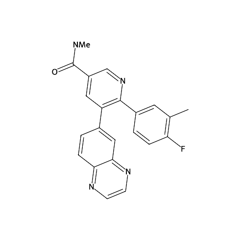 CNC(=O)c1cnc(-c2ccc(F)c(C)c2)c(-c2ccc3nccnc3c2)c1